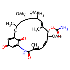 CO[C@H]1[C@@H](OC)C[C@H](C)CC2=CC(=O)C=C(NC(=O)/C(C)=C/C=C\[C@H](OC)[C@@H](OC(N)=O)/C(C)=C/[C@@H]1C)C2=O